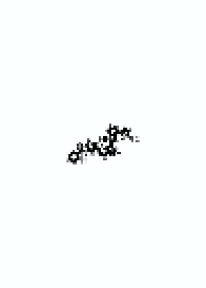 CC(=O)c1ccc(-c2cncc3[nH]c(-c4n[nH]c5ccc(-c6cncc(NC(=O)C7CCCCC7)c6)nc45)cc23)s1